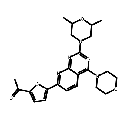 CC(=O)c1ccc(-c2ccc3c(N4CCOCC4)nc(N4CC(C)OC(C)C4)nc3n2)s1